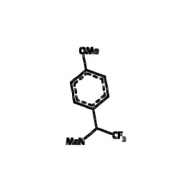 CNC(c1ccc(OC)cc1)C(F)(F)F